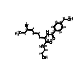 C=C\C(Br)=C/C=C/C=C(\NC(=O)c1ccc(CO)cc1)C(=O)NCCO